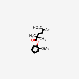 COc1ccccc1OC(=O)C(C)(C)CCC(C(C)=O)C(=O)O